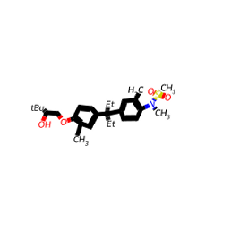 CCC(CC)(c1ccc(OCC(O)C(C)(C)C)c(C)c1)c1ccc(N(C)S(C)(=O)=O)c(C)c1